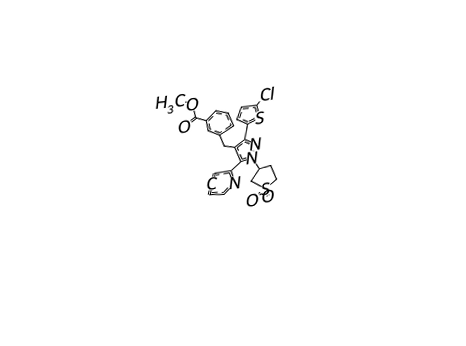 COC(=O)c1cccc(Cc2c(-c3ccc(Cl)s3)nn(C3CCS(=O)(=O)C3)c2-c2ccccn2)c1